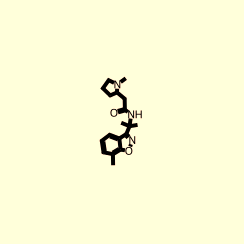 Cc1cccc2c(C(C)(C)NC(=O)CC3CCCN3C)noc12